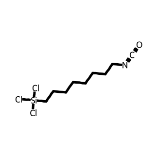 O=C=NCCCCCCCC[Si](Cl)(Cl)Cl